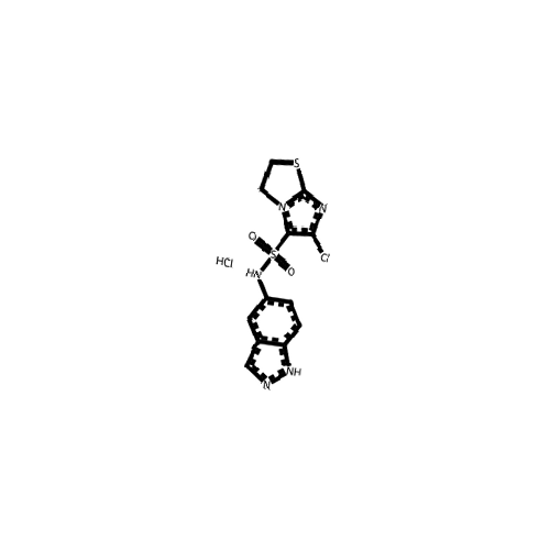 Cl.O=S(=O)(Nc1ccc2[nH]ncc2c1)c1c(Cl)nc2n1CCS2